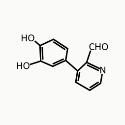 O=Cc1ncccc1-c1ccc(O)c(O)c1